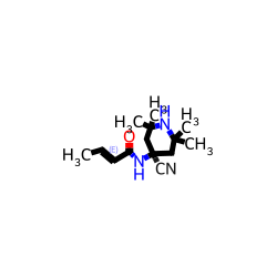 C/C=C/C(=O)NC1(C#N)CC(C)(C)NC(C)(C)C1